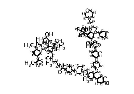 Cc1ncsc1C1=CCC([C@H](C)NC(=O)[C@@H]2C[C@@H](O)CN2C(=O)[C@@H](NC(=O)CN(C)CCCNC(=O)c2ccc(N3CCN(C[C@]4(C)CCC(c5ccc(Cl)cc5)=C(CN5CCN(c6ccc(C(=O)NS(=O)(=O)c7ccc(N[C@H](CCN8CCCOCC8)CSc8ccccc8)c(S(=O)(=O)C(F)(F)F)c7)cc6)CC5)C4)CC3)nn2)C(C)(C)C)C=C1